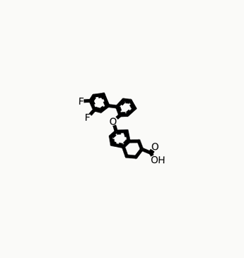 O=C(O)C1CCc2ccc(Oc3ccccc3-c3ccc(F)c(F)c3)cc2C1